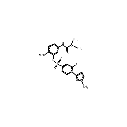 COc1ccc(NC(=O)[C@H](C)N)cc1NS(=O)(=O)c1ccc(-c2ccc(C)o2)c(F)c1